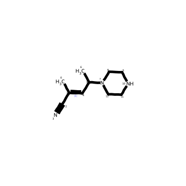 C/C(C#N)=C\C(C)N1CCNCC1